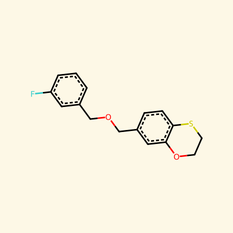 Fc1cccc(COCc2ccc3c(c2)OCCS3)c1